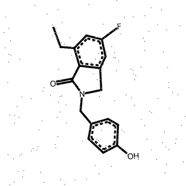 CCc1cc(F)cc2c1C(=O)N(Cc1ccc(O)cc1)C2